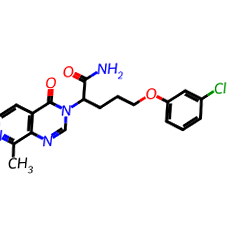 Cc1nccc2c(=O)n(C(CCCOc3cccc(Cl)c3)C(N)=O)cnc12